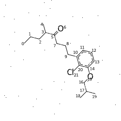 CCCC(C)C(=O)CCCc1cccc(OCC(C)C)c1Cl